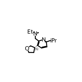 CCN(C)Cc1nc(C(C)C)ccc1[C@@H]1CCOC1